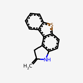 C=C1Cc2c(ccc3sc4ccccc4c23)N1